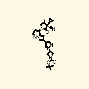 C[C@@H]1CN(c2ccnn3cc(-c4cnn(C5CN(C(=O)OC(C)(C)C)C5)c4)cc23)C(=O)[C@]1(C#N)C1CC1